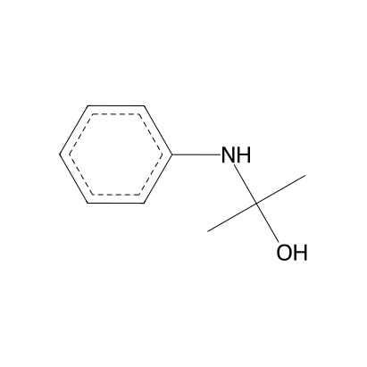 CC(C)(O)Nc1ccccc1